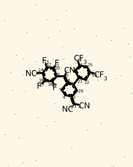 N#CC(C#N)=c1cc/c(=C(/C#N)c2c(F)c(F)c(C#N)c(F)c2F)c(-c2cc(C(F)(F)F)cc(C(F)(F)F)c2)c1